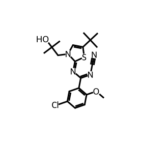 COc1ccc(Cl)cc1C(=NC#N)N=c1sc(C(C)(C)C)cn1CC(C)(C)O